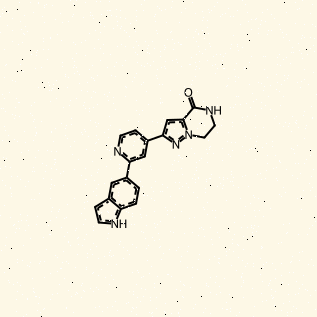 O=C1NCCn2nc(-c3ccnc(-c4ccc5[nH]ccc5c4)c3)cc21